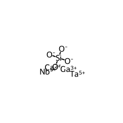 [Ca+2].[Ga+3].[Nb+5].[O-][Si]([O-])([O-])[O-].[Ta+5]